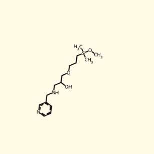 CO[Si](C)(C)CCCOCC(O)CNCc1cccnc1